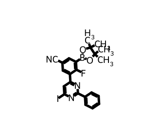 CC1(C)OB(c2cc(C#N)cc(-c3cc(I)nc(-c4ccccc4)n3)c2F)OC1(C)C